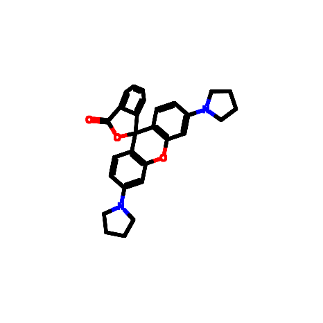 O=C1OC2(c3ccc(N4CCCC4)cc3Oc3cc(N4CCCC4)ccc32)c2ccccc21